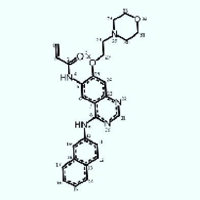 C=CC(=O)Nc1cc2c(Nc3ccc4ccccc4c3)ncnc2cc1OCCN1CCOCC1